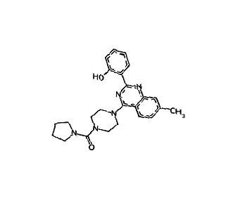 Cc1ccc2c(N3CCN(C(=O)N4CCCC4)CC3)nc(-c3ccccc3O)nc2c1